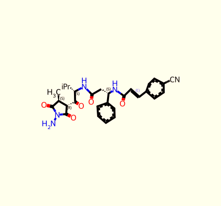 CC(C)[C@H](NC(=O)C[C@H](NC(=O)/C=C/c1ccc(C#N)cc1)c1ccccc1)C(=O)[C@@H]1C(=O)N(N)C(=O)[C@H]1C